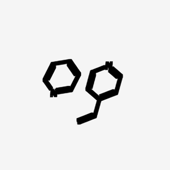 C=Cc1ccncc1.c1ccncc1